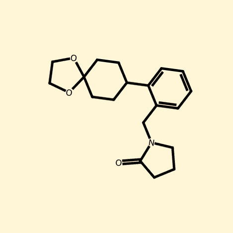 O=C1CCCN1Cc1ccccc1C1CCC2(CC1)OCCO2